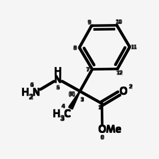 COC(=O)[C@](C)(NN)c1ccccc1